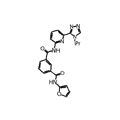 CC(C)n1cnnc1-c1cccc(NC(=O)c2cccc(C(=O)Nc3ccco3)c2)n1